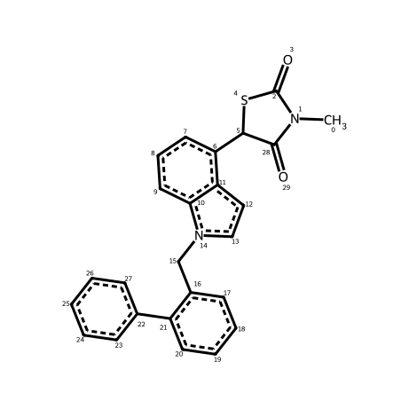 CN1C(=O)SC(c2cccc3c2ccn3Cc2ccccc2-c2ccccc2)C1=O